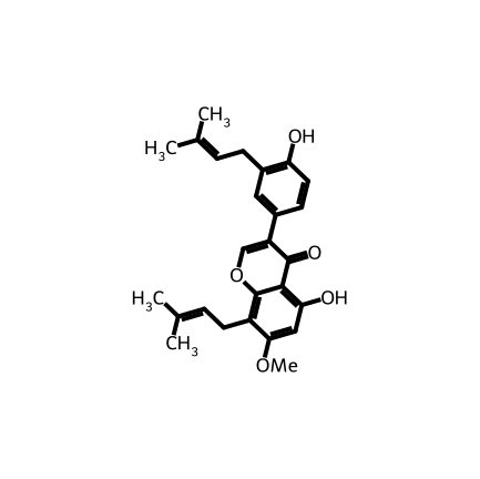 COc1cc(O)c2c(=O)c(-c3ccc(O)c(CC=C(C)C)c3)coc2c1CC=C(C)C